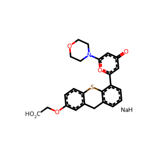 O=C(O)COc1ccc2c(c1)Cc1cccc(-c3cc(=O)cc(N4CCOCC4)o3)c1S2.[NaH]